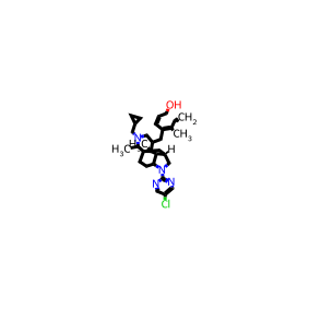 C=C/C(C)=C(\C=C/CO)CC1CN(CC2CC2)C(C)C23CCC4C([C@@H](CN4c4ncc(Cl)cn4)C2)C13C